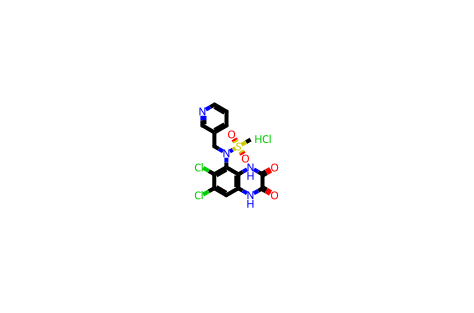 CS(=O)(=O)N(Cc1cccnc1)c1c(Cl)c(Cl)cc2[nH]c(=O)c(=O)[nH]c12.Cl